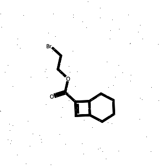 O=C(OCCBr)C1=CC2CCCCC12